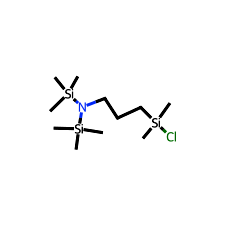 C[Si](C)(Cl)CCCN([Si](C)(C)C)[Si](C)(C)C